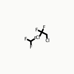 FC(F)(Cl)CCl.FC(F)F